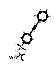 CO[Si](C)(C)O[Si](C)(C)c1ccc(C#Cc2ccccc2)cc1